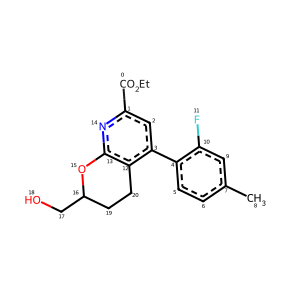 CCOC(=O)c1cc(-c2ccc(C)cc2F)c2c(n1)OC(CO)CC2